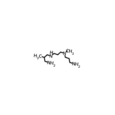 CC(CN)CNCCCN(C)CCCN